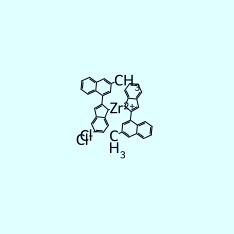 Cc1cc(C2=Cc3ccccc3[CH]2[Zr+2][CH]2C(c3cc(C)cc4ccccc34)=Cc3ccccc32)c2ccccc2c1.[Cl-].[Cl-]